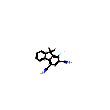 CC1(C)c2ccccc2-c2c(C#N)cc(C#N)c(F)c21